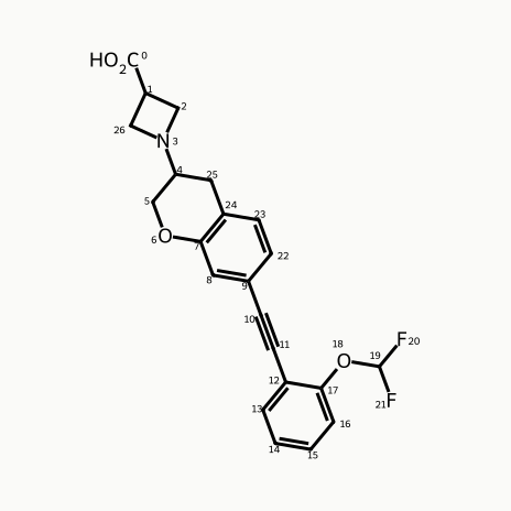 O=C(O)C1CN(C2COc3cc(C#Cc4ccccc4OC(F)F)ccc3C2)C1